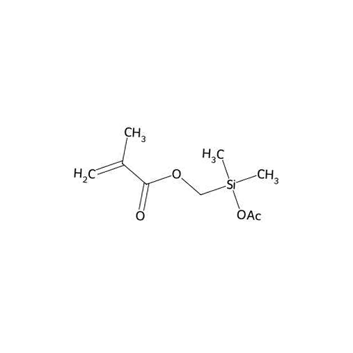 C=C(C)C(=O)OC[Si](C)(C)OC(C)=O